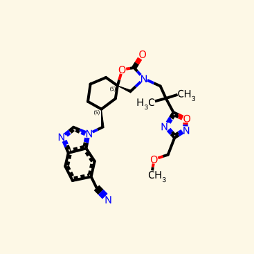 COCc1noc(C(C)(C)CN2C[C@@]3(CCC[C@H](Cn4cnc5ccc(C#N)cc54)C3)OC2=O)n1